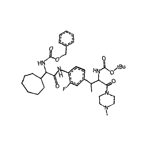 CC(c1ccc(NC(=O)C(NC(=O)OCc2ccccc2)C2CCCCCC2)c(F)c1)C(NC(=O)OC(C)(C)C)C(=O)N1CCN(C)CC1